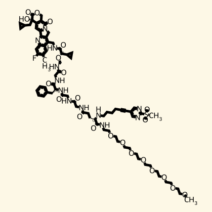 COCCOCCOCCOCCOCCOCCOCCOCCNC(=O)[C@H](CCC(=O)NCC(=O)NCC(=O)N[C@@H](Cc1ccccc1)C(=O)NCC(=O)NCO[C@@H](C(=O)NCc1c2c(nc3cc(F)c(C)cc13)-c1cc3c(c(=O)n1C2)COC(=O)[C@]3(O)CC1CC1)C1CC1)NCCCCC#Cc1cnc(S(C)(=O)=O)nc1